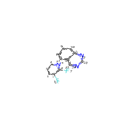 Fc1cccnc1F.c1ccc2ncncc2c1